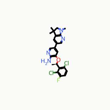 C[C@@H](Oc1cc(-c2cnc3c(c2)C(C)(C)CN3C)cnc1N)c1c(Cl)ccc(F)c1Cl